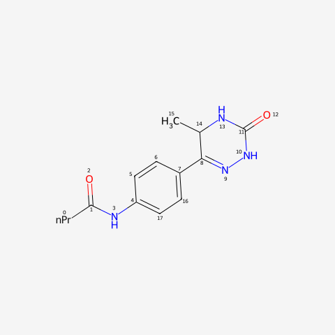 CCCC(=O)Nc1ccc(C2=NNC(=O)NC2C)cc1